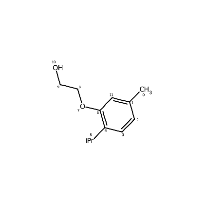 Cc1ccc(C(C)C)c(OCCO)c1